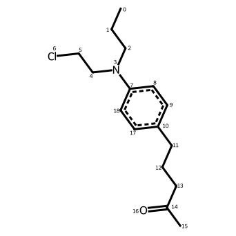 CCCN(CCCl)c1ccc(CCCC(C)=O)cc1